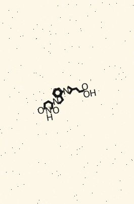 O=C(O)CCC1CN(c2cccc3c2CCN3[C@@H]2CCC(=O)NC2=O)C1